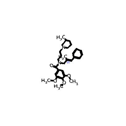 COc1cc(C(=O)N(CCCN2CCCC(C)C2)C/C(C)=C/c2ccccc2)cc(OC)c1OC